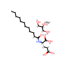 CCCCCCCCCCCC(=O)N[C@@H](CCC(=O)[O-])C(=O)O.OCC(O)CO.[Na+]